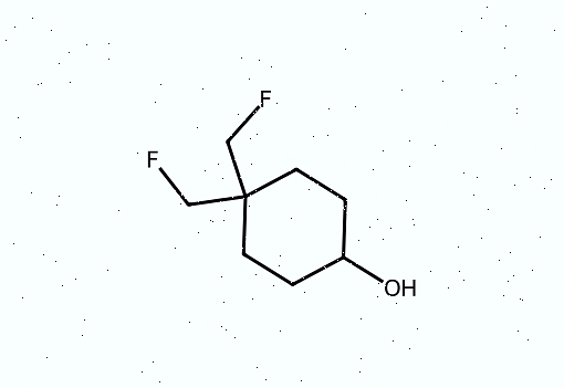 OC1CCC(CF)(CF)CC1